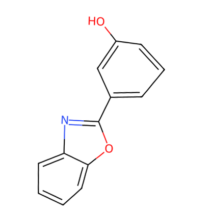 Oc1cccc(-c2nc3ccccc3o2)c1